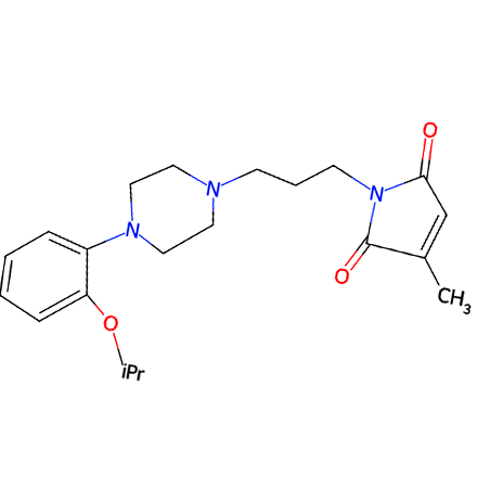 CC1=CC(=O)N(CCCN2CCN(c3ccccc3OC(C)C)CC2)C1=O